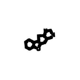 c1ccc2c(c1)oc1cc3cncnc3cc12